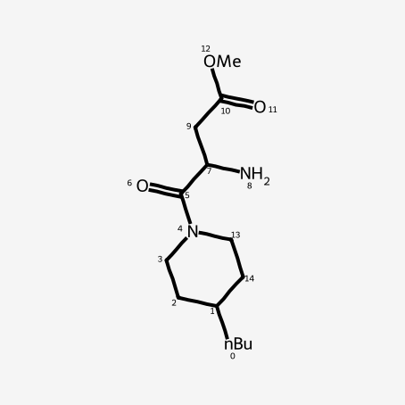 CCCCC1CCN(C(=O)C(N)CC(=O)OC)CC1